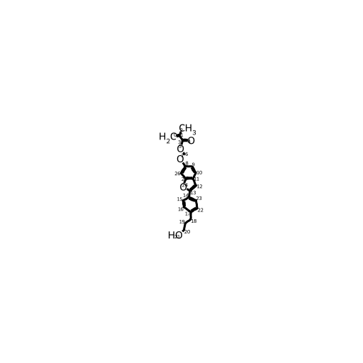 C=C(C)C(=O)OCOc1ccc2cc(-c3ccc(CCCO)cc3)oc2c1